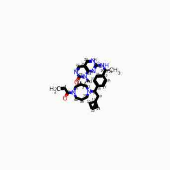 C=CC(=O)N1CCCN(C(CC23CC(C2)C3)c2ccc([C@H](C)Nc3ncc4cnc(=O)n(CC)c4n3)cc2)CCC1